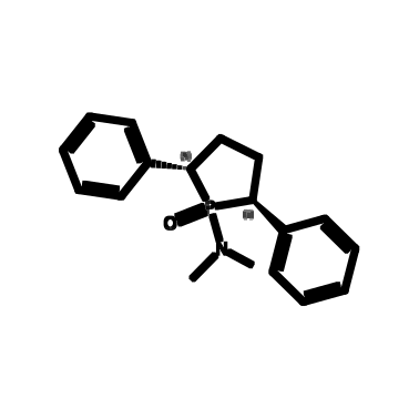 CN(C)P1(=O)[C@H](c2ccccc2)CC[C@H]1c1ccccc1